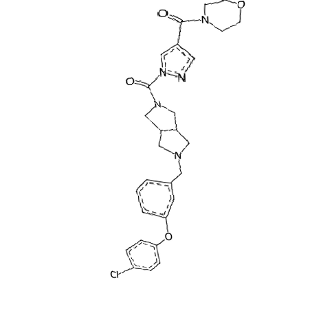 O=C(c1cnn(C(=O)N2CC3CN(Cc4cccc(Oc5ccc(Cl)cc5)c4)CC3C2)c1)N1CCOCC1